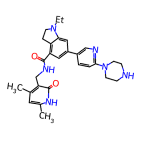 CCN1CCc2c(C(=O)NCc3c(C)cc(C)[nH]c3=O)cc(-c3ccc(N4CCNCC4)nc3)cc21